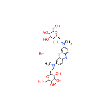 CN(CC[C@@H]1O[C@H](CO)[C@H](O)[C@H](O)[C@H]1O)c1ccc2nc3ccc(N(C)CC[C@@H]4O[C@H](CO)[C@H](O)[C@H](O)[C@H]4O)cc3[s+]c2c1.[Br-]